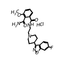 COc1cccc(C(=O)NCCN2CCC(c3noc4cc(F)ccc34)CC2)c1C(N)=O.Cl